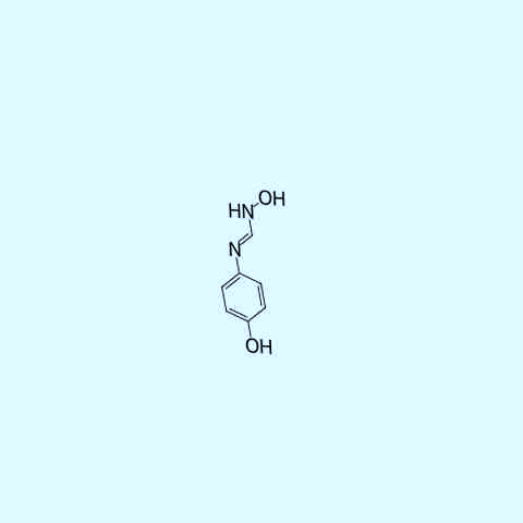 ONC=Nc1ccc(O)cc1